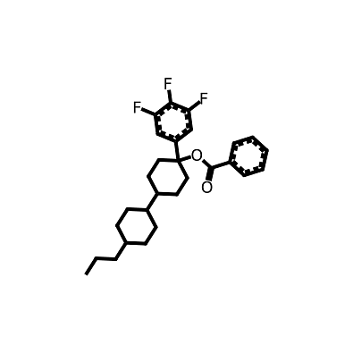 CCCC1CCC(C2CCC(OC(=O)c3ccccc3)(c3cc(F)c(F)c(F)c3)CC2)CC1